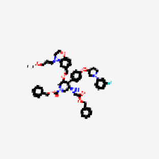 COCCCN1CCOc2ccc(COC3CN(C(=O)OCc4ccccc4)CC(NCC(=O)OCc4ccccc4)C3c3ccc(OC4CCN(c5cccc(F)c5)C4)cc3)cc21